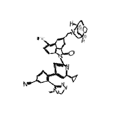 Cn1cnnc1-c1cc(C#N)ccc1-c1cc(C2CC2)nc(N2C(=O)c3cc(CN4C[C@@H]5C[C@H]4CO5)cc4c(F)ccc2c34)c1